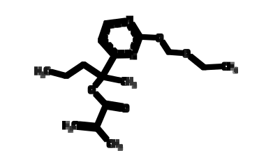 C=C(C)C(=O)OC(C)(CCC)c1ccnc(OCOCC)n1